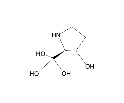 OC1CCN[C@@H]1C(O)(O)O